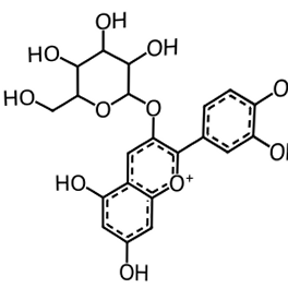 OCC1OC(Oc2cc3c(O)cc(O)cc3[o+]c2-c2ccc(O)c(O)c2)C(O)C(O)C1O